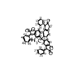 CC(c1ccc2c(c1)C(c1ccccc1)C(=O)C2)(c1ccc2c(c1)C(c1ccccc1)C(=O)O2)c1ccc2c(c1)C(c1ccccc1)C(=O)O2